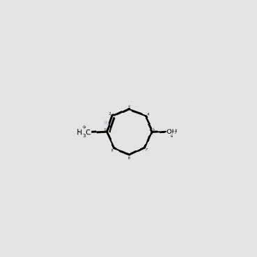 C/C1=C/CCC(O)CCC1